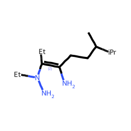 CC/C(=C(/N)CCC(C)C(C)C)N(N)CC